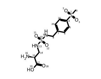 CS(=O)(=O)c1ccc(CNS(=O)(=O)NC[C@H](N)C(=O)O)cc1